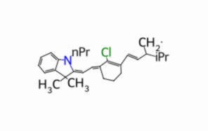 [CH2]C(C=CC1=C(Cl)/C(=C/C=C2N(CCC)c3ccccc3C2(C)C)CCC1)C(C)C